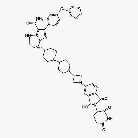 NC(=O)c1c(-c2ccc(Oc3ccccc3)cc2)nn2c1NCC[C@H]2C1CCN(C2CCN(C3CN(c4ccc5c(c4)C(O)N(C4CCC(=O)NC4=O)C5=O)C3)CC2)CC1